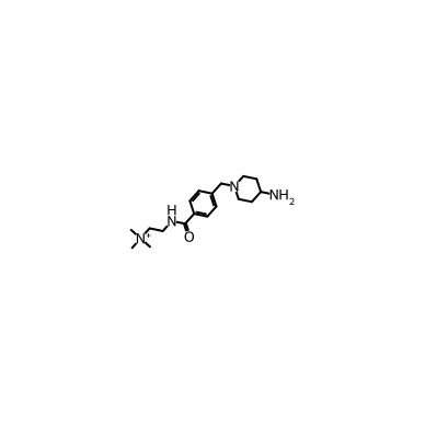 C[N+](C)(C)CCNC(=O)c1ccc(CN2CCC(N)CC2)cc1